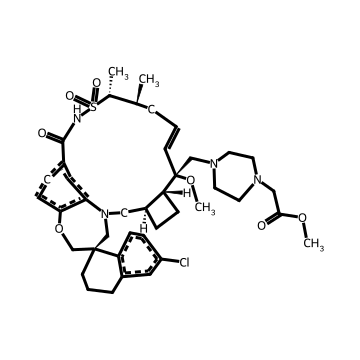 COC(=O)CN1CCN(C[C@]2(OC)/C=C/C[C@H](C)[C@@H](C)S(=O)(=O)NC(=O)c3ccc4c(c3)N(C[C@@H]3CC[C@H]32)C[C@@]2(CCCc3cc(Cl)ccc32)CO4)CC1